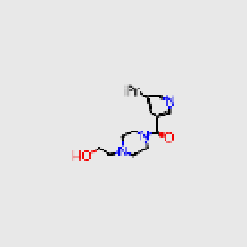 CC(C)c1cncc(C(=O)N2CCN(CCO)CC2)c1